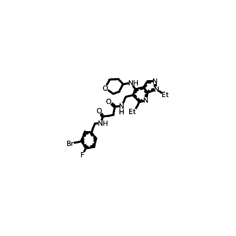 CCc1nc2c(cnn2CC)c(NC2CCOCC2)c1CNC(=O)CC(=O)NCc1ccc(F)c(Br)c1